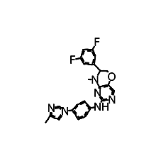 Cc1cn(-c2ccc(Nc3ncc4c(n3)N(C)C(c3cc(F)cc(F)c3)CO4)cc2)cn1